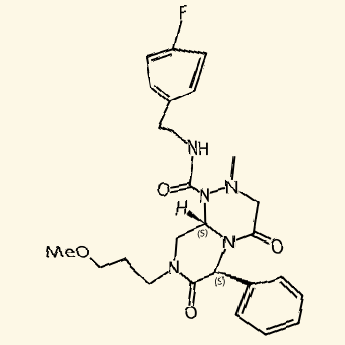 COCCCN1C[C@H]2N(C(=O)CN(C)N2C(=O)NCc2ccc(F)cc2)[C@@H](c2ccccc2)C1=O